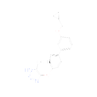 O=C(O)c1[nH]nnc1Oc1ccc(-c2cccc(OCC3CC3)c2)cc1